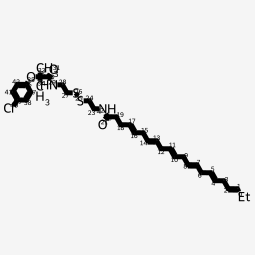 CCC=CCC=CCC=CCC=CCC=CCC=CCCC(=O)NCCSSCCNC(=O)C(C)(C)Oc1ccc(Cl)cc1